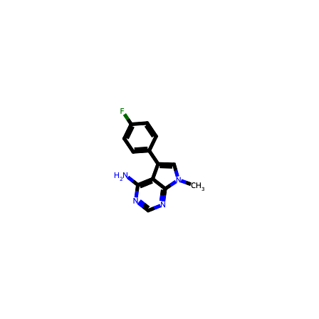 Cn1cc(-c2ccc(F)cc2)c2c(N)ncnc21